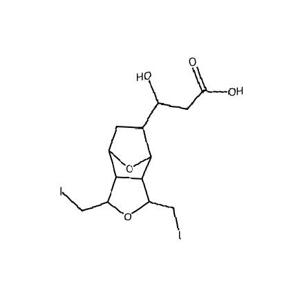 O=C(O)CC(O)C1CC2OC1C1C(CI)OC(CI)C21